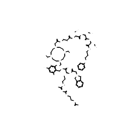 CCC(=O)NCCNC(=O)/N=C(/N)NCCC[C@@H](NC(=O)[C@H](c1ccc(OCCCNC(=O)[C@@H](CO)NC(=O)[C@@H](CO)NC(=O)[C@@H](CO)NC(=O)CCNC(=O)CN2CCN(CC(=O)O)CCN(CC(=O)O)CCN(CC(=O)O)CC2)cc1)N1Cc2ccccc2C1)C(=O)NCc1c(F)cc(O)cc1F